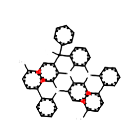 CC(C)(C)c1ccc(-c2ccccc2N2c3cccc4c3B3c5c2cccc5C(C)(c2ccccc2)c2cccc(c23)N4c2ccccc2-c2ccc(C(C)(C)C)cc2)cc1